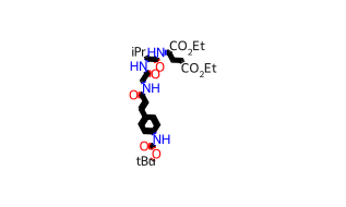 CCOC(=O)CCC(NC(=O)C(NC(=O)CNC(=O)/C=C/c1ccc(NC(=O)OC(C)(C)C)cc1)C(C)C)C(=O)OCC